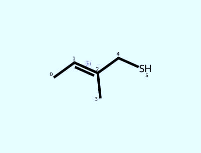 C/C=C(\C)CS